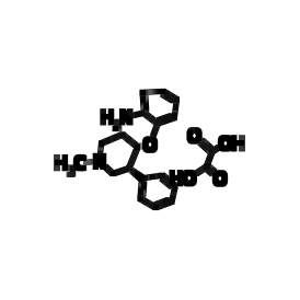 CN1CC[C@H](Oc2ccccc2N)[C@@H](c2ccccc2)C1.O=C(O)C(=O)O